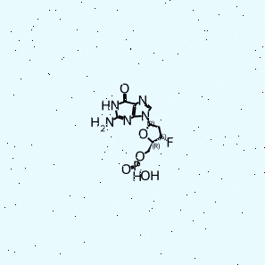 Nc1nc2c(ncn2[C@H]2C[C@H](F)[C@@H](CO[PH](=O)O)O2)c(=O)[nH]1